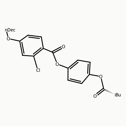 CCCCCCCCCCOc1ccc(C(=O)Oc2ccc(OC(=O)[C@@H](C)CC)cc2)c(Cl)c1